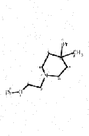 CC(C)OCCN1CCC(C)(C(C)C)CC1